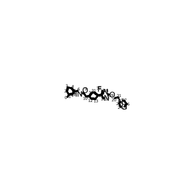 Cc1cccc(CNC(=O)Cc2ccc(-c3cnc(OCCN4CCOCC4)nc3F)cc2)c1